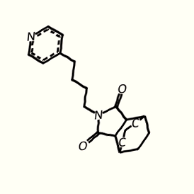 O=C1C2C3CCCC(CC3)C2C(=O)N1CCCCc1ccncc1